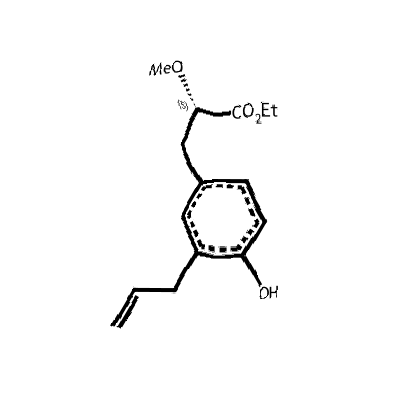 C=CCc1cc(C[C@H](OC)C(=O)OCC)ccc1O